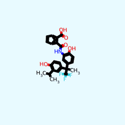 CC(C)c1cc(C(C)(c2ccc(O)c(NC(=O)C3C4C=CC(C4)C3C(=O)O)c2)C(F)(F)F)ccc1O